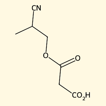 CC(C#N)COC(=O)CC(=O)O